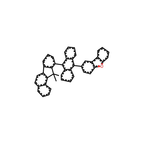 CC1(C)c2c(cccc2-c2c3ccccc3c(-c3ccc4oc5ccccc5c4c3)c3ccccc23)-c2ccc3ccccc3c21